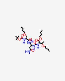 CCCCOC[C@H](NC(=O)OC(C)(C)C)c1nc([C@H](CC(=O)NC)NC(=O)N[C@H](C(=O)OCCCC)C(C)OCCCC)no1